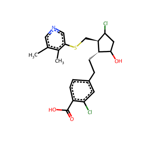 Cc1cncc(SC[C@H]2C(Cl)CC(O)[C@@H]2CCc2ccc(C(=O)O)c(Cl)c2)c1C